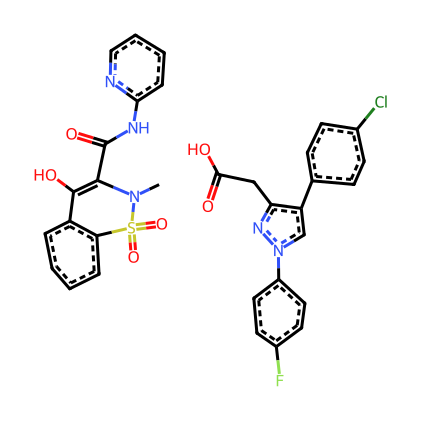 CN1C(C(=O)Nc2ccccn2)=C(O)c2ccccc2S1(=O)=O.O=C(O)Cc1nn(-c2ccc(F)cc2)cc1-c1ccc(Cl)cc1